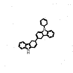 C1=CCC(N2C3=CC=C(C4C=Cc5[nH]c6ccccc6c5C4)CC3c3ccccc32)C=C1